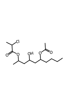 CCCCC(CC(O)CC(C)OC(=O)C(C)Cl)OC(C)=O